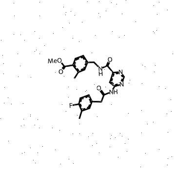 COC(=O)c1ccc(CNC(=O)c2cc(NC(=O)Cc3ccc(F)c(C)c3)ncn2)cc1C